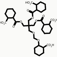 O=C(O)C1CCCCC1OCOCC(COC(=O)C1CCCCC1C(=O)O)(COC(=O)C1CCCCC1C(=O)O)COC(=O)C1CCCCC1C(=O)O